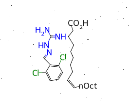 CCCCCCCC/C=C\CCCCCCCC(=O)O.N=C(N)N/N=C/c1c(Cl)cccc1Cl